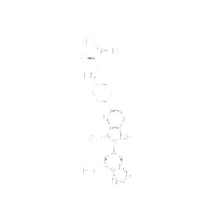 Cc1cc(-c2[nH]c3ccc(C4CCC(NCC(=O)N(C)C)CC4)nc3c2C(C)C)cn2ncnc12